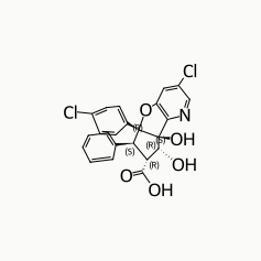 O=C(O)[C@H]1[C@@H](O)[C@@]2(O)c3ncc(Cl)cc3O[C@@]2(c2ccc(Cl)cc2)[C@@H]1c1ccccc1